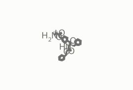 C[C@H](N)C(=O)Oc1ccc(C(=O)[C@@H](Cc2ccccc2)NC(=O)OCc2ccccc2)cc1